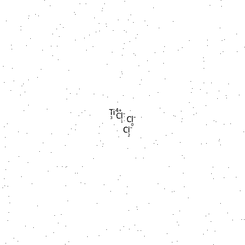 [Cl-].[Cl-].[Cl-].[Ti+4]